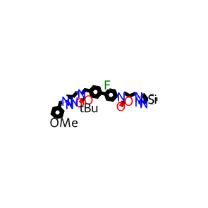 COc1ccc(Cn2cc(CN(Cc3ccc(-c4ccc(N5CC(Cn6cc([Si](C)(C)C)nn6)OC5=O)cc4F)cc3)C(=O)OC(C)(C)C)nn2)cc1